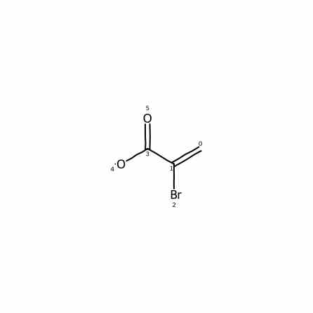 C=C(Br)C([O])=O